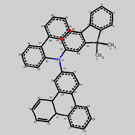 CC1(C)c2ccccc2-c2ccc(N(c3ccc4c(c3)C3C=CC=CC3c3ccccc3-4)c3ccccc3-c3ccccc3)cc21